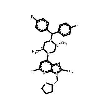 Cc1nc2c(N3C[C@@H](C)N(C(c4ccc(F)cc4)c4ccc(F)cc4)C[C@@H]3C)cc(Cl)nc2n1C[C@@H]1CCCO1